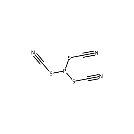 N#CSP(SC#N)SC#N